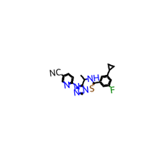 CC(NC(=S)c1cc(F)cc(C2CC2)c1)c1ncnn1-c1ccc(C#N)cn1